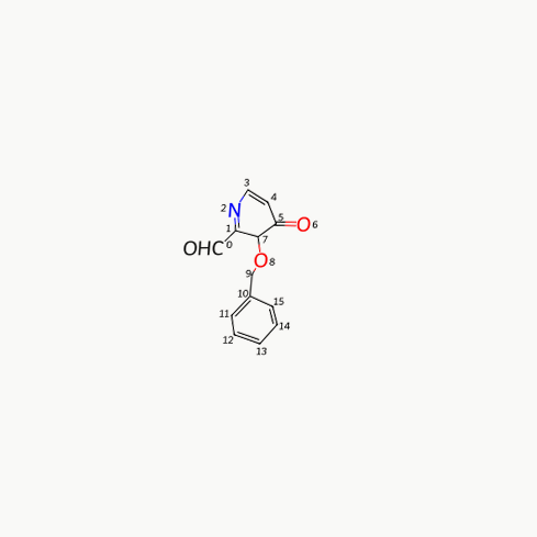 O=CC1=NC=CC(=O)C1OCc1ccccc1